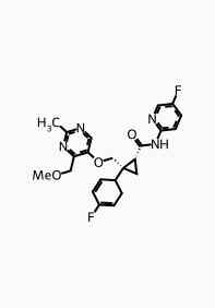 COCc1nc(C)ncc1OC[C@@]1(C2C=CC(F)=CC2)C[C@H]1C(=O)Nc1ccc(F)cn1